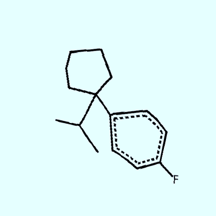 CC(C)C1(c2ccc(F)cc2)CCCC1